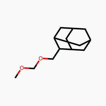 COCOCC1C2CC3CC(C2)CC1C3